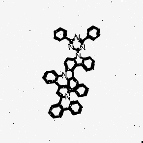 c1ccc(-c2cc(-c3ccccc3-n3c4ccccc4c4c5c6ccccc6n(-c6nc(-c7ccccc7)nc(-c7ccccc7)n6)c5ccc43)cc(-c3ccccc3-c3ccccc3)n2)cc1